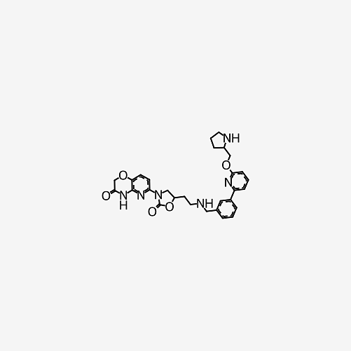 O=C1COc2ccc(N3CC(CCNCc4cccc(-c5cccc(OCC6CCCN6)n5)c4)OC3=O)nc2N1